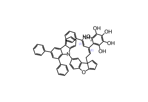 N/C(=C\C(=C/CC12C=CC=C1Oc1ccc(-n3c4ccccc4c4cc(-c5ccccc5)cc(-c5ccccc5)c43)cc12)c1c(O)c(O)c(O)c(O)c1O)c1ccccc1